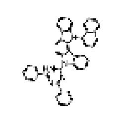 c1ccc(C2=NC(n3c4ccccc4c4c5c(ccc43)c3ccccc3n5-c3cccc4ccccc34)NC(c3ccccc3)=N2)cc1